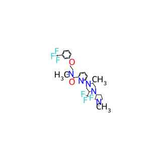 CC1CN(C2CCN(C)C2)C(C(F)(F)F)CN1c1cccc(C(=O)N(C)CCOc2cccc(C(F)(F)F)c2)n1